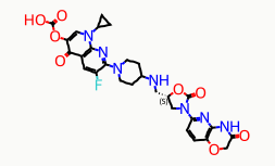 O=C1COc2ccc(N3C[C@H](CNC4CCN(c5nc6c(cc5F)c(=O)c(OC(=O)O)cn6C5CC5)CC4)OC3=O)nc2N1